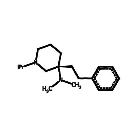 CC(C)N1CCC[C@](CCc2ccccc2)(N(C)C)C1